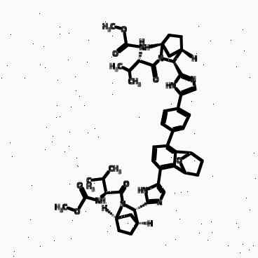 COC(=O)N[C@H](C(=O)N1[C@@H]2CC[C@@H](C2)[C@H]1c1ncc(-c2ccc(-c3ccc(-c4cnc([C@@H]5[C@H]6CC[C@H](C6)N5C(=O)[C@@H](NC(=O)OC)C(C)C)[nH]4)c4c3C3CCC4O3)cc2)[nH]1)C(C)C